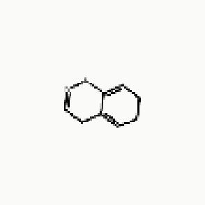 C1=N[N]C2=CCCC=C2C1